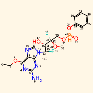 CCOc1nc(N)nc2c1ncn2[C@](C)(F)[C@H](O)[C@@](F)(CO[PH](=O)Oc1ccccc1)OC